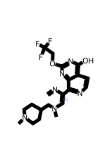 C=N/C(=C\N(C)CC1CCN(C)CC1)c1nccc2c(O)nc(OCC(F)(F)F)nc12